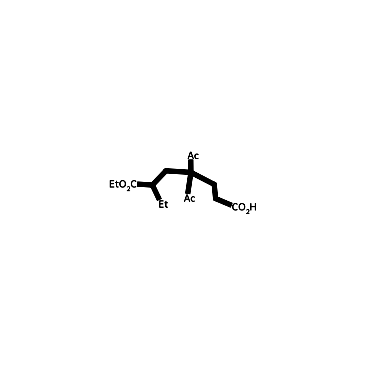 CCOC(=O)C(CC)CC(CCC(=O)O)(C(C)=O)C(C)=O